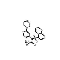 Cc1cnc(N2CCOCC2)cc1N(C(=O)C1CC1)S(=O)(=O)c1cccc2ncccc12